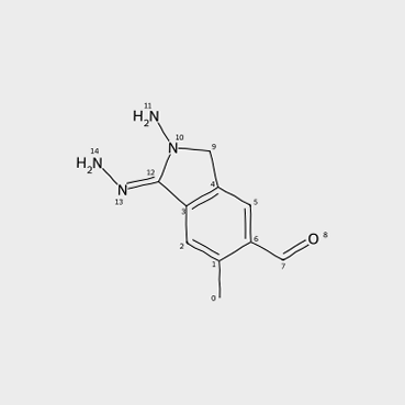 Cc1cc2c(cc1C=O)CN(N)/C2=N\N